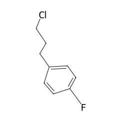 Fc1ccc(CCCCl)cc1